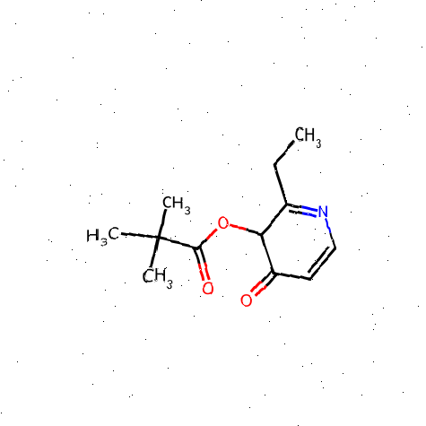 CCC1=NC=CC(=O)C1OC(=O)C(C)(C)C